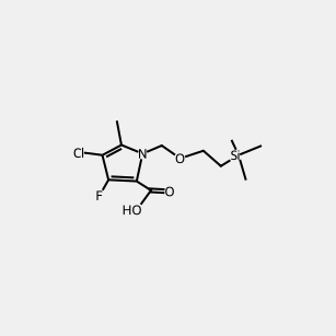 Cc1c(Cl)c(F)c(C(=O)O)n1COCC[Si](C)(C)C